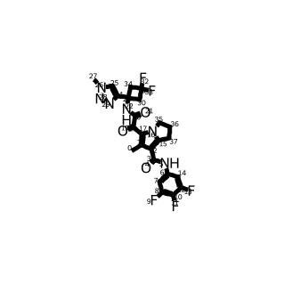 Cc1c(C(=O)Nc2cc(F)c(F)c(F)c2)c2n(c1C(=O)C(=O)NC1(c3cn(C)nn3)CC(F)(F)C1)CCC2